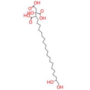 O=C(O)CC(O)(C(=O)O)C(CCCCCCCCCCCCCCCCCCCC(O)CO)C(=O)O